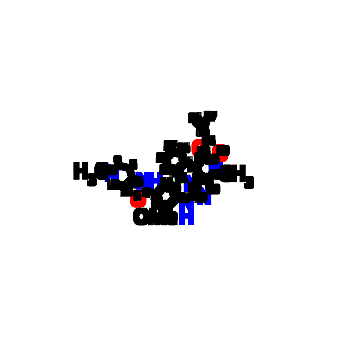 COc1cc(C(=O)NC2CCN(C)CC2)ccc1Nc1ncc2c(n1)c(-c1ccccc1F)c(OCC1CC1)c(=O)n2C